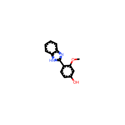 COc1cc(O)ccc1-c1nc2ccccc2[nH]1